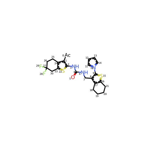 CC(=O)c1c(NC(=O)NCc2c(-n3cccc3)sc3c2CCCC3)sc2c1CCC(F)(F)C2